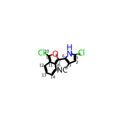 N#Cc1cc(Cl)[nH]c1-c1oc(Cl)c2ccccc12